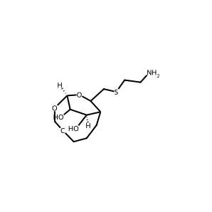 NCCSCC1O[C@@H]2OCCCCCC1[C@@H](O)C2O